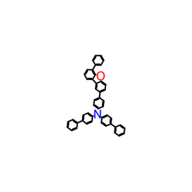 c1ccc(-c2ccc(N(c3ccc(-c4ccccc4)cc3)c3ccc(-c4ccc5oc6c(-c7ccccc7)cccc6c5c4)cc3)cc2)cc1